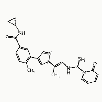 C/C(=C\NC(S)n1ccccc1=O)n1cc(-c2cc(C(=O)NC3CC3)ccc2C)cn1